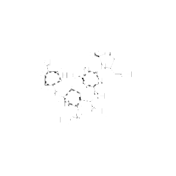 CCC1COC(=O)N1c1nc(C)nc(N[C@@H](C)c2ccc(Oc3ccc(Cl)cc3)nc2OC)n1